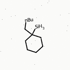 CCCCCC1([SiH3])CCCCC1